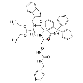 CCOC(OCC)[C@H](C)N(Cc1csc2ccccc12)C(=O)[C@H](CC(=O)NC(c1ccccc1)(c1ccccc1)c1ccccc1)NC(=O)CONC(=O)NCc1ccncc1